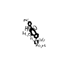 C[C@H]1CN(C(=O)O)CCN1c1ccc2c(c1)C(C)(C)c1[nH]c3cc(C#N)ccc3c1C2=O